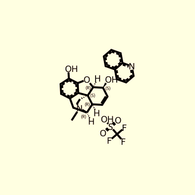 CN1CC[C@]23c4c5ccc(O)c4O[C@H]2[C@@H](O)C=C[C@H]3[C@H]1C5.O=S(=O)(O)C(F)(F)F.c1ccc2ncccc2c1